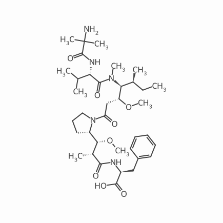 CC[C@H](C)[C@@H]([C@@H](CC(=O)N1CCC[C@H]1[C@H](OC)[C@@H](C)C(=O)N[C@@H](Cc1ccccc1)C(=O)O)OC)N(C)C(=O)[C@@H](NC(=O)C(C)(C)N)C(C)C